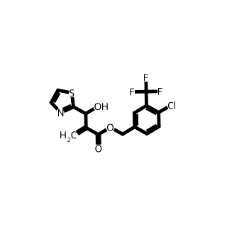 C=C(C(=O)OCc1ccc(Cl)c(C(F)(F)F)c1)C(O)c1nccs1